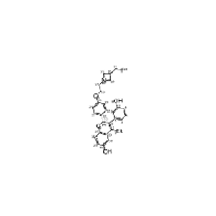 CCC1=C(c2cccc(O)c2)[C@@H](c2ccc(OCCN3CC(CF)C3)cc2)Oc2ccc(O)cc21